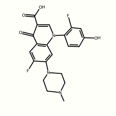 CN1CCN(c2cc3c(cc2F)c(=O)c(C(=O)O)cn3-c2ccc(O)cc2F)CC1